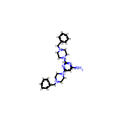 Nc1cc(N2CCN(Cc3ccccc3)CC2)nc(N2CCN(Cc3ccccc3)CC2)n1